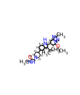 CCOc1cc(-c2[nH]c3ccc(C4CCN(CC(=O)NC)CC4)cc3c2C(C)C)cc2nc(C)nn12